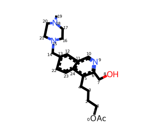 CC(=O)OCCCCc1c(CO)ncc2cc(CN3CCN(C)CC3)ccc12